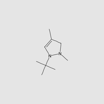 CC1=CN(C(C)(C)C)N(C)C1